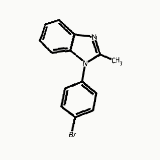 Cc1nc2ccccc2n1-c1ccc(Br)cc1